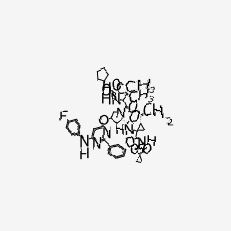 C=C[C@@H]1C[C@]1(NC(=O)[C@@H]1C[C@@H](Oc2cc(Nc3ccc(F)cc3)nc(-c3ccccc3)n2)CN1C(=O)[C@@H](NC(=O)OC1CCCC1)C(C)(C)C)C(=O)NS(=O)(=O)C1CC1